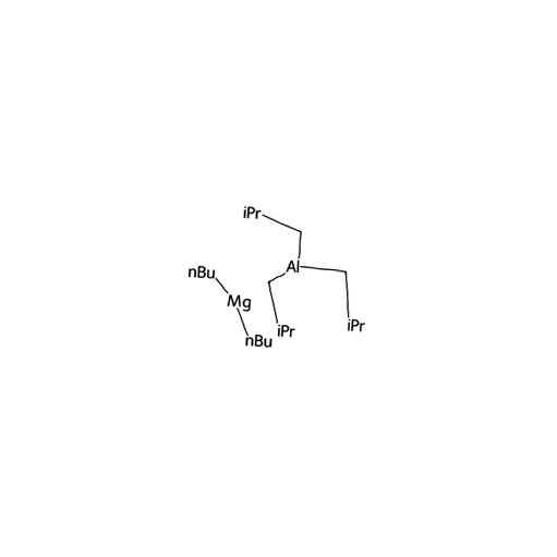 CC(C)[CH2][Al]([CH2]C(C)C)[CH2]C(C)C.CCC[CH2][Mg][CH2]CCC